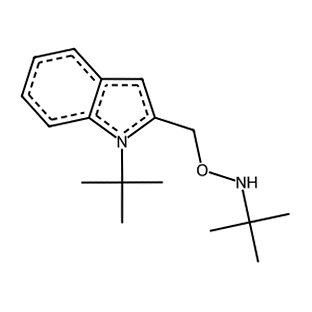 CC(C)(C)NOCc1cc2ccccc2n1C(C)(C)C